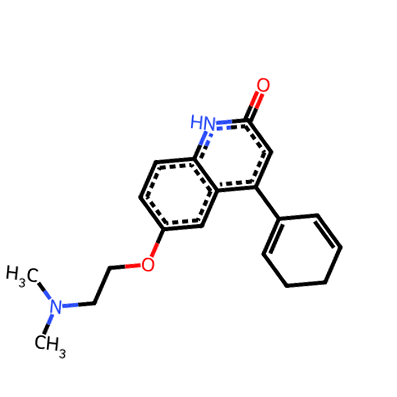 CN(C)CCOc1ccc2[nH]c(=O)cc(C3=CCCC=C3)c2c1